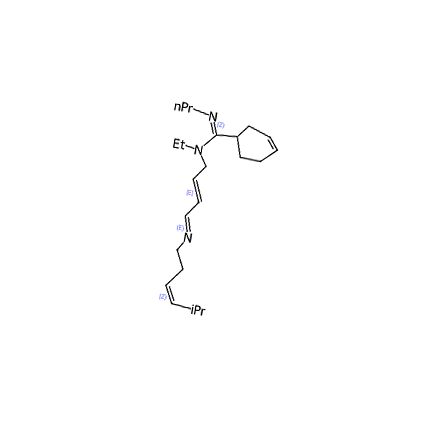 CCC/N=C(/C1CC=CCC1)N(CC)C/C=C/C=N/CC/C=C\C(C)C